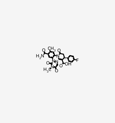 Cc1cc(N2C=C(C(=O)O)[C@H](c3ccc(F)cc3)CC2=O)c(-n2ncc(=O)n(C)c2=O)cc1C(N)=O